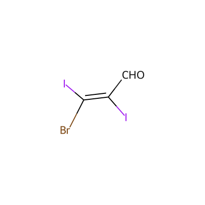 O=CC(I)=C(Br)I